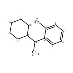 CC(C)c1ccccc1C(C)C1CCCCC1